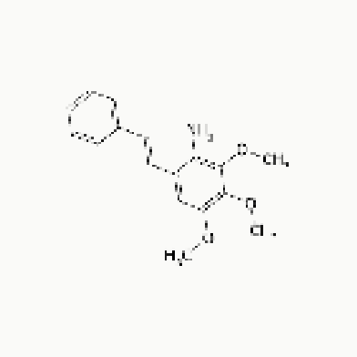 COc1cc(C=Cc2ccccc2)c(N)c(OC)c1OC